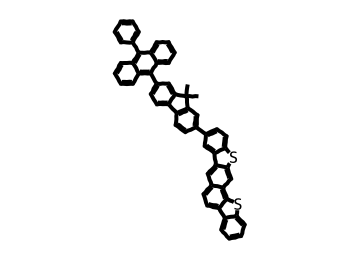 CC1(C)c2cc(-c3ccc4sc5cc6c(ccc7c8ccccc8sc67)cc5c4c3)ccc2-c2ccc(-c3c4ccccc4c(-c4ccccc4)c4ccccc34)cc21